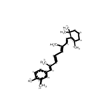 CC1=C(/C=C/C(C)=C/C=C/C(C)=C/c2ccc(O)c(C)c2)C(C)(C)CCC1